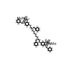 CNS(=O)(=O)N(C)c1cc(CCN(CCCCCCN(CCc2ccc(OCc3ccccc3)c(N(C)S(=O)(=O)NC)c2)Cc2ccccc2)Cc2ccccc2)ccc1OCc1ccccc1